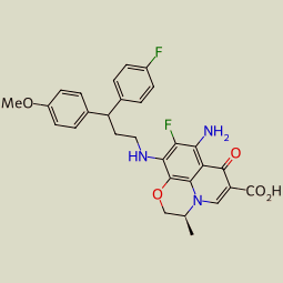 COc1ccc(C(CCNc2c(F)c(N)c3c(=O)c(C(=O)O)cn4c3c2OC[C@@H]4C)c2ccc(F)cc2)cc1